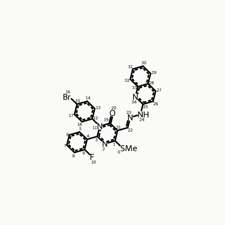 CSc1nc(-c2ccccc2F)n(-c2ccc(Br)cc2)c(=O)c1C=NNc1ccc2ccccc2n1